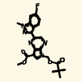 COC(=O)c1cn(COC(=O)C(C)(C)C)c2ncc(-c3nn(C)c4cc(F)ccc34)nc12